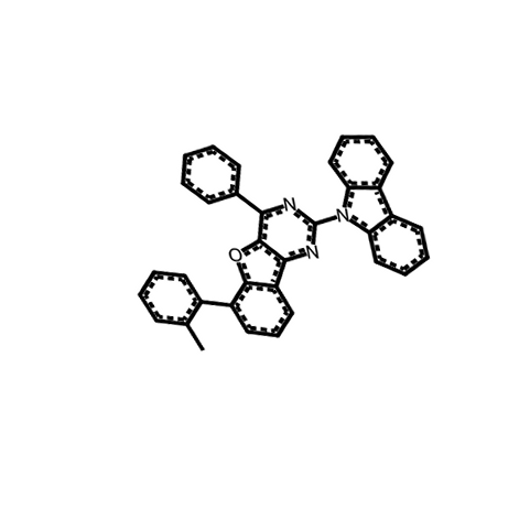 Cc1ccccc1-c1cccc2c1oc1c(-c3ccccc3)nc(-n3c4ccccc4c4ccccc43)nc12